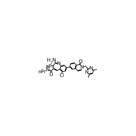 CCCN(CCC)C(=O)C1=Cc2c(Cl)cc(-c3ccc4c(=O)n(Cc5nc(C)cc(C)n5)ccc4c3)cc2N=C(N)C1